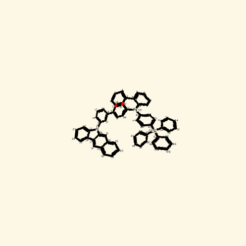 c1ccc(-c2ccccc2N(c2ccc(-c3cccc(-n4c5ccccc5c5cc6ccccc6cc54)c3)cc2)c2ccc([Si](c3ccccc3)(c3ccccc3)c3ccccc3)cc2)cc1